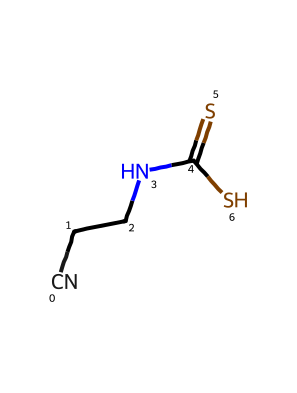 N#CCCNC(=S)S